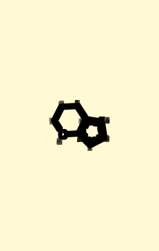 c1cc2c(s1)CCCO2